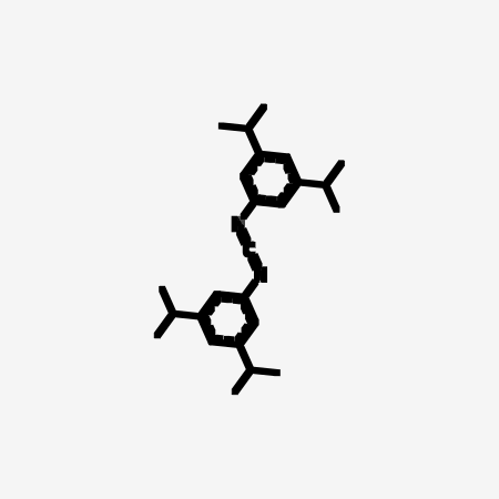 CC(C)c1cc(N=C=Nc2cc(C(C)C)cc(C(C)C)c2)cc(C(C)C)c1